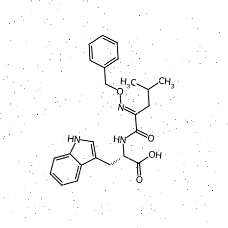 CC(C)CC(=NOCc1ccccc1)C(=O)N[C@@H](Cc1c[nH]c2ccccc12)C(=O)O